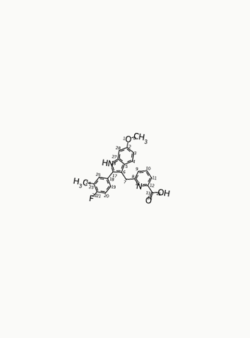 COc1ccc2c(Cc3cccc(C(=O)O)n3)c(-c3ccc(F)c(C)c3)[nH]c2c1